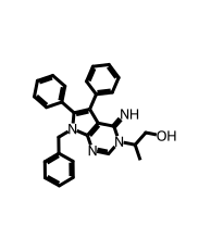 CC(CO)n1cnc2c(c(-c3ccccc3)c(-c3ccccc3)n2Cc2ccccc2)c1=N